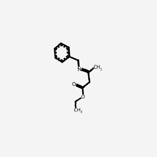 CCOC(=O)C/C(C)=N/Cc1ccccc1